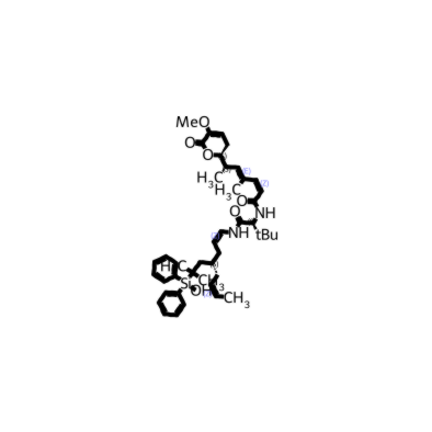 C/C=C\C[C@@H](C/C=C\NC(=O)[C@@H](NC(=O)/C=C\C(C)=C\[C@H](C)[C@@H]1CC=C(OC)C(=O)O1)C(C)(C)C)CC(C)(C)[Si](O)(c1ccccc1)c1ccccc1